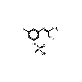 NC(N)=Nc1cccc(I)c1.O=S(=O)(O)O